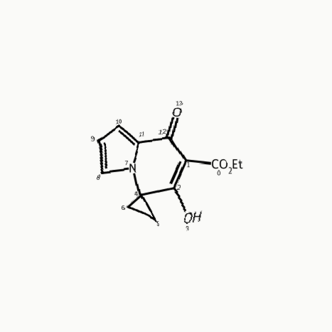 CCOC(=O)C1=C(O)C2(CC2)n2cccc2C1=O